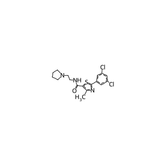 Cc1nc(-c2cc(Cl)cc(Cl)c2)sc1C(=O)NCCN1CCCC1